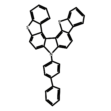 c1ccc(-c2ccc(-n3c4ccc5c6ccccc6sc5c4c4c5c(ccc43)sc3ccccc35)cc2)cc1